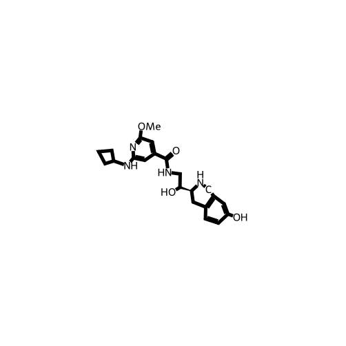 COc1cc(C(=O)NCC(O)[C@@H]2Cc3ccc(O)cc3CN2)cc(NC2CCC2)n1